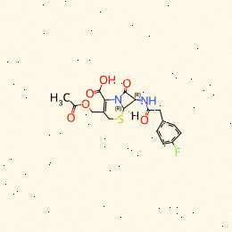 CC(=O)OCC1=C(C(=O)O)N2C(=O)[C@@H](NC(=O)Cc3ccc(F)cc3)[C@H]2SC1